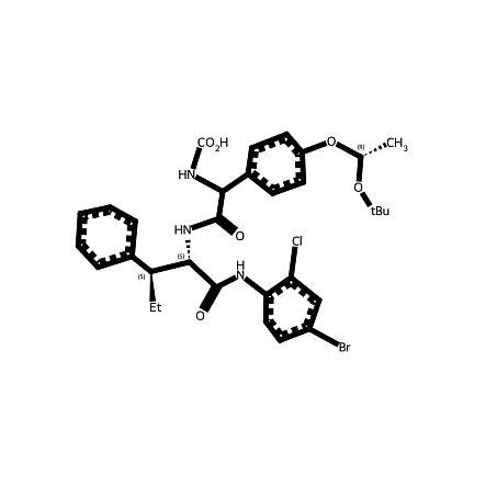 CC[C@@H](c1ccccc1)[C@H](NC(=O)C(NC(=O)O)c1ccc(O[C@H](C)OC(C)(C)C)cc1)C(=O)Nc1ccc(Br)cc1Cl